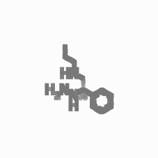 CCCNC[C@@H](NN)c1ccccc1